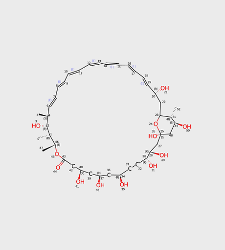 C[C@@H]1[C@H](O)[C@@H](C)/C=C/C=C/C=C/C=C/C=C/C=C/C=C/[C@H](O)CC2O[C@](O)(C[C@@H](O)[C@H](O)CC[C@@H](O)C[C@@H](O)C[C@@H](O)CC(=O)O[C@H]1C)C[C@H](O)[C@H]2C